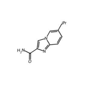 CC(C)c1ccc2nc(C(N)=O)cn2c1